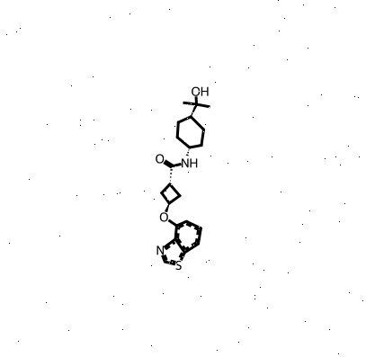 CC(C)(O)[C@H]1CC[C@H](NC(=O)[C@H]2C[C@H](Oc3cccc4scnc34)C2)CC1